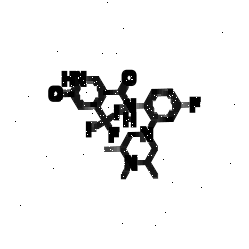 CC1CN(c2cc(F)ccc2NC(=O)c2c[nH]c(=O)cc2C(F)(F)F)CC(C)N1C